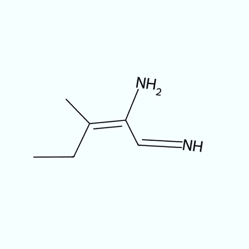 CC/C(C)=C(/N)C=N